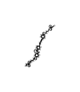 C=CC(=O)OCCCCOc1ccc(C#CC#Cc2ccc(C(=O)Sc3ccc(OCCCCOC(=O)C=C)cc3)cc2)cc1